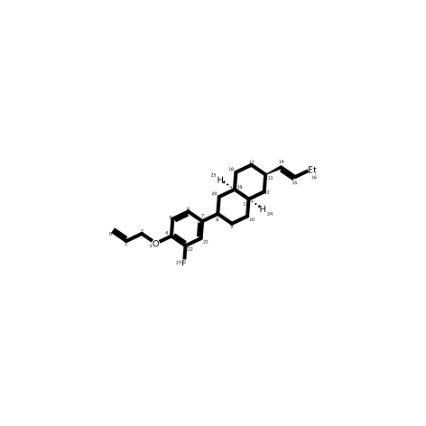 C=CCOc1ccc(C2CC[C@@H]3C[C@H](C=CCC)CC[C@@H]3C2)cc1F